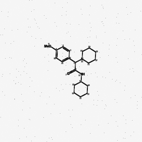 COc1ccc(C(C(=O)NC2CCCCC2)N2CCCCC2)cc1